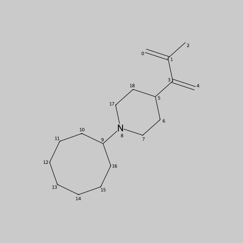 C=C(C)C(=C)C1CCN(C2CCCCCCC2)CC1